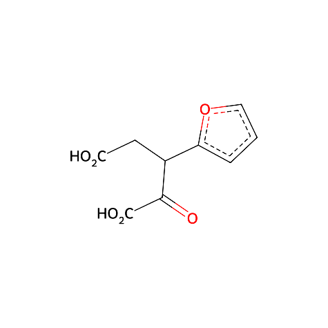 O=C(O)CC(C(=O)C(=O)O)c1ccco1